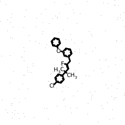 CC(C)(C=C(F)Cc1cccc(Oc2ccccc2)c1)c1ccc(Cl)cc1